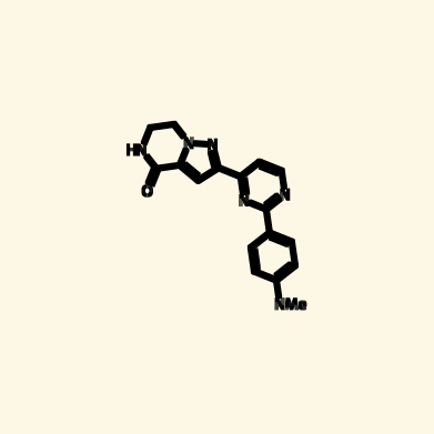 CNc1ccc(-c2nccc(-c3cc4n(n3)CCNC4=O)n2)cc1